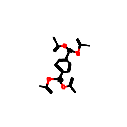 C=C(C)[O][Sb]([O]C(=C)C)[c]1cc[c]([Sb]([O]C(=C)C)[O]C(=C)C)cc1